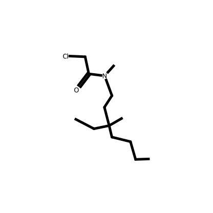 CCCCC(C)(CC)CCN(C)C(=O)CCl